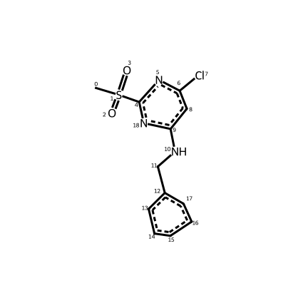 CS(=O)(=O)c1nc(Cl)cc(NCc2ccccc2)n1